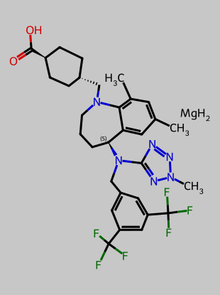 Cc1cc(C)c2c(c1)[C@@H](N(Cc1cc(C(F)(F)F)cc(C(F)(F)F)c1)c1nnn(C)n1)CCCN2C[C@H]1CC[C@H](C(=O)O)CC1.[MgH2]